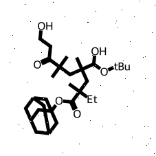 CCC(C)(CC(C)(CC(C)(C)C(=O)CCO)C(O)OC(C)(C)C)C(=O)OC12CC3CC(CC(C3)C1)C2